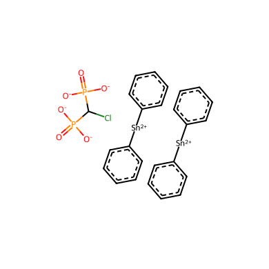 O=P([O-])([O-])C(Cl)P(=O)([O-])[O-].c1cc[c]([Sn+2][c]2ccccc2)cc1.c1cc[c]([Sn+2][c]2ccccc2)cc1